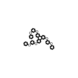 c1ccc(Oc2cccc(Oc3ccc4c(c3)c3ccc(Oc5cccc(Oc6ccccc6)c5)cc3c3ccc(Oc5cccc(Oc6ccccc6)c5)cc43)c2)cc1